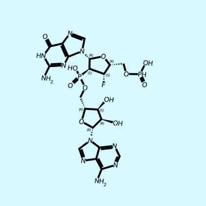 Nc1nc2c(ncn2[C@@H]2O[C@H](CO[PH](=O)O)[C@H](F)[C@H]2P(=O)(O)OC[C@H]2O[C@@H](n3cnc4c(N)ncnc43)[C@H](O)[C@@H]2O)c(=O)[nH]1